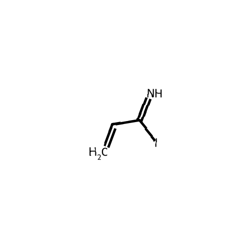 C=CC(=N)I